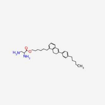 CCCCCc1ccc(C2=Cc3cccc(CCCCCCOC(=O)C(N)CN)c3CC2)cc1